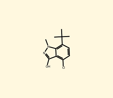 Cn1nc(O)c2c(Cl)ccc(C(C)(C)C)c21